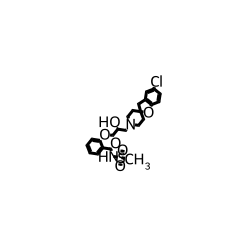 CS(=O)(=O)NC(=O)c1ccccc1OC[C@H](O)CN1CCC2(CC1)Cc1cc(Cl)ccc1O2